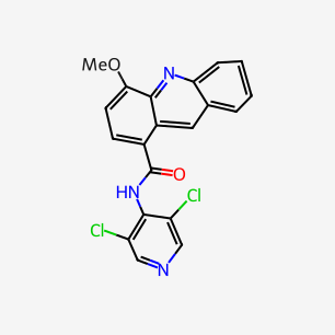 COc1ccc(C(=O)Nc2c(Cl)cncc2Cl)c2cc3ccccc3nc12